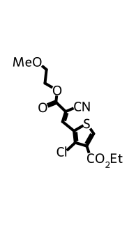 CCOC(=O)c1csc(/C=C(\C#N)C(=O)OCCOC)c1Cl